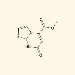 COC(=O)C1=CC(=O)NC2SC=CN12